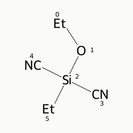 CCO[Si](C#N)(C#N)CC